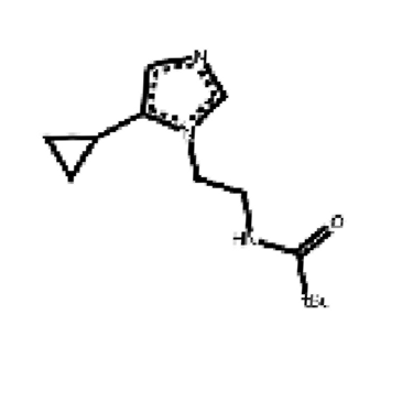 CC(C)(C)C(=O)NCCn1cncc1C1CC1